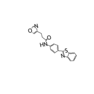 O=C(CCc1cocn1)Nc1ccc(-c2nc3ccccc3s2)cc1